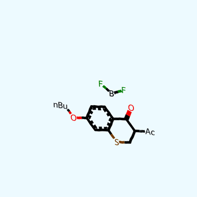 CCCCOc1ccc2c(c1)SCC(C(C)=O)C2=O.F[B]F